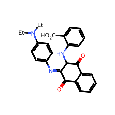 CCN(CC)c1ccc(N=C2C(=O)c3ccccc3C(=O)C2Nc2ccccc2C(=O)O)cc1